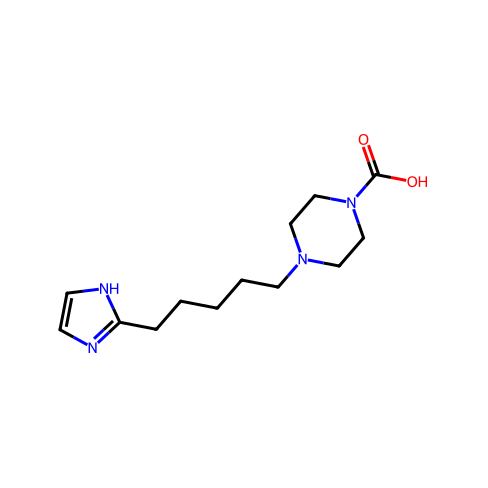 O=C(O)N1CCN(CCCCCc2ncc[nH]2)CC1